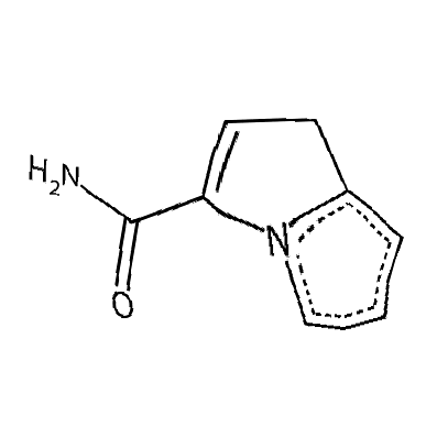 NC(=O)C1=CCc2cccn21